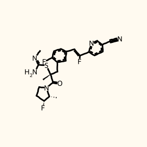 C/N=C(/N)S[C@](C)(Cc1cc(/C=C(\F)c2ccc(C#N)cn2)ccc1F)C(=O)N1CC[C@@H](F)[C@H]1C